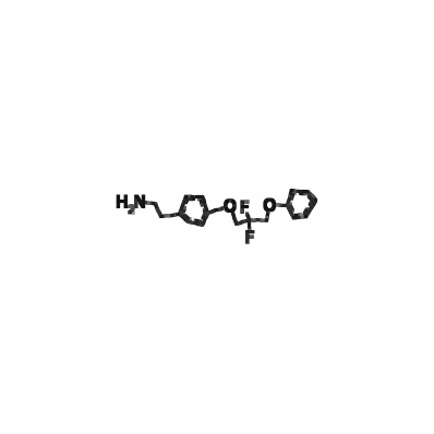 NCCc1ccc(OCC(F)(F)COc2ccccc2)cc1